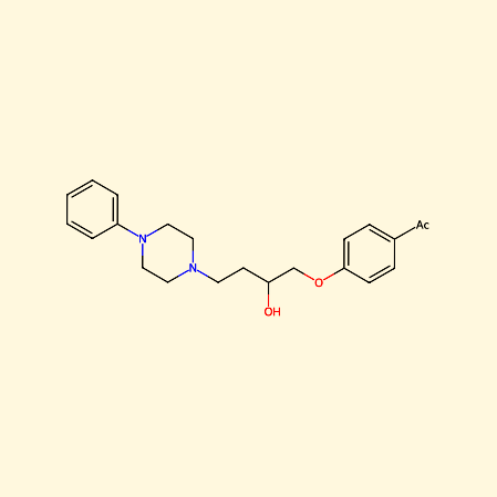 CC(=O)c1ccc(OCC(O)CCN2CCN(c3ccccc3)CC2)cc1